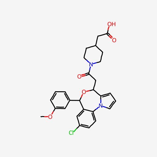 COc1cccc(C2OC(CC(=O)N3CCC(CC(=O)O)CC3)c3cccn3-c3ccc(Cl)cc32)c1